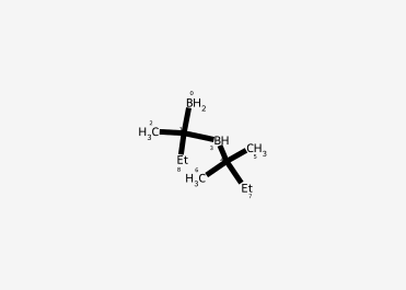 BC(C)(BC(C)(C)CC)CC